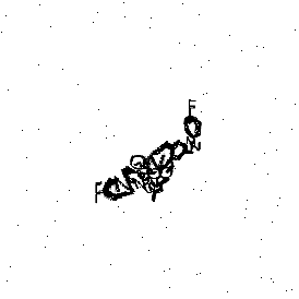 Cc1cc(COC[C@]23Cc4cnn(-c5ccc(F)cc5)c4C=C2CCN(S(=O)(=O)c2ccc(N4CC[C@@H](F)C4)nc2)C3)no1